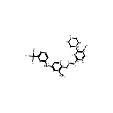 Cc1cc(Nc2cccc(C(F)(F)F)c2)cnc1C/N=N/c1ncc(F)c(N2CCOCC2)n1